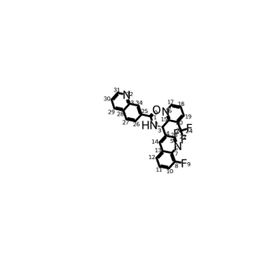 O=C(N[C@@H](c1cnc2c(F)cccc2c1)c1ncccc1C(F)(F)F)c1ccc2cccnc2c1